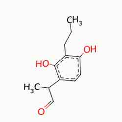 CCCc1c(O)ccc(C(C)C=O)c1O